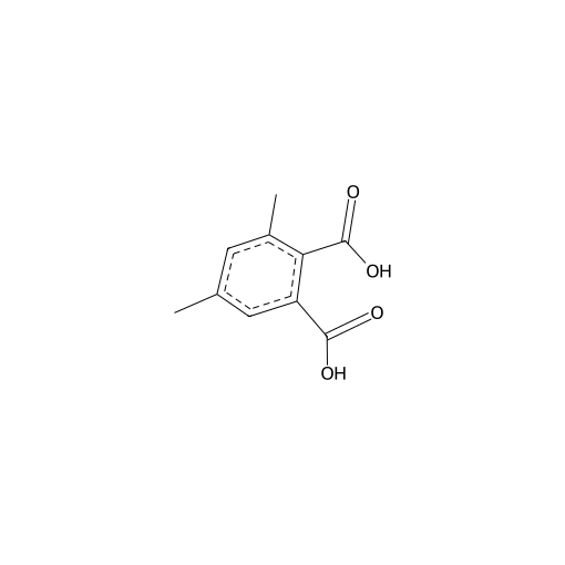 Cc1cc(C)c(C(=O)O)c(C(=O)O)c1